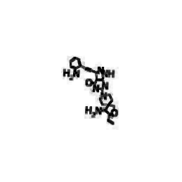 C=C[C@@H]1OCC2(CCN(c3nc4[nH]nc(C#Cc5ccccc5N)c4c(=O)n3C)CC2)[C@@H]1N